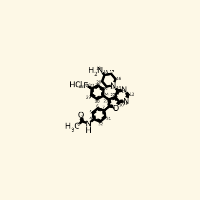 CC(=O)Nc1ccc(-c2oc3ncnc(N4CCC(N)CC4)c3c2-c2ccc(F)cc2)cc1.Cl